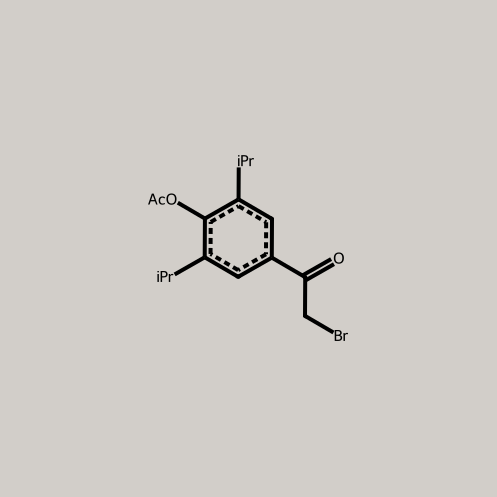 CC(=O)Oc1c(C(C)C)cc(C(=O)CBr)cc1C(C)C